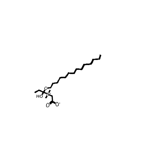 CCCCCCCCCCCCCCOC(O)(CC)[N+](C)(C)CC(=O)[O-]